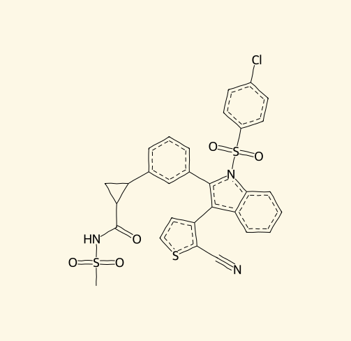 CS(=O)(=O)NC(=O)C1CC1c1cccc(-c2c(-c3ccsc3C#N)c3ccccc3n2S(=O)(=O)c2ccc(Cl)cc2)c1